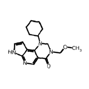 COCN1CN(C2CCCCC2)c2c(cnc3[nH]ccc23)C1=O